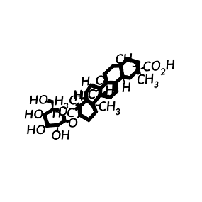 CC1(C)[C@@H](O[C@@H]2O[C@H](CO)[C@@H](O)[C@H](O)[C@H]2O)CC[C@]2(C)[C@H]3CC=C4[C@@H]5C[C@@](C)(C(=O)O)CC[C@]5(C)CC[C@@]4(C)[C@]3(C)CC[C@@H]12